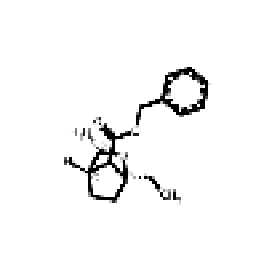 B[C@@H]1O[C@@]2(CC)CC[C@H]1C2C(=O)OCc1ccccc1